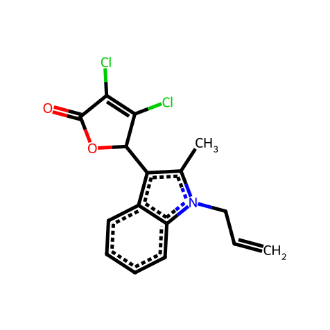 C=CCn1c(C)c(C2OC(=O)C(Cl)=C2Cl)c2ccccc21